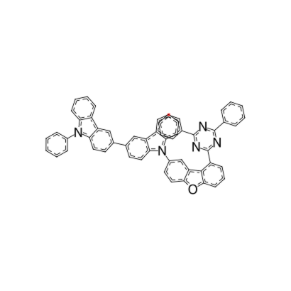 c1ccc(-c2nc(-c3ccccc3)nc(-c3cccc4oc5ccc(-n6c7ccccc7c7cc(-c8ccc9c(c8)c8ccccc8n9-c8ccccc8)ccc76)cc5c34)n2)cc1